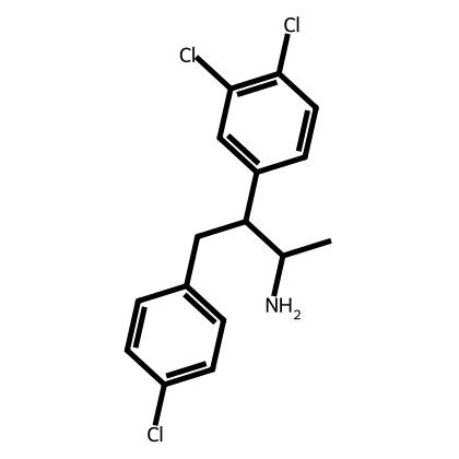 CC(N)C(Cc1ccc(Cl)cc1)c1ccc(Cl)c(Cl)c1